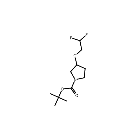 CC(C)(C)OC(=O)N1CCC(OCC(F)F)C1